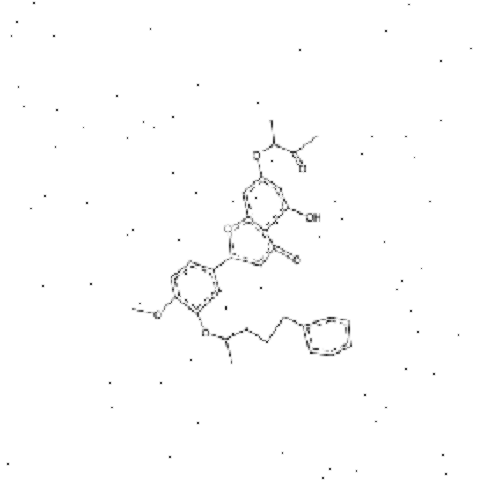 COc1ccc(-c2cc(=O)c3c(O)cc(OC(C)C(C)=O)cc3o2)cc1OC(C)CCCc1ccccc1